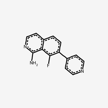 Nc1nccc2ccc(-c3ccncc3)c(F)c12